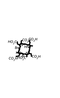 Cc1c(CCC(=O)O)c2cc3nc(c(Br)c4[nH]c(c(Br)c5nc(cc1[nH]2)C(CCC(=O)O)=C5CC(=O)O)c(CCC(=O)O)c4C)C(CCC(=O)O)=C3CC(=O)O